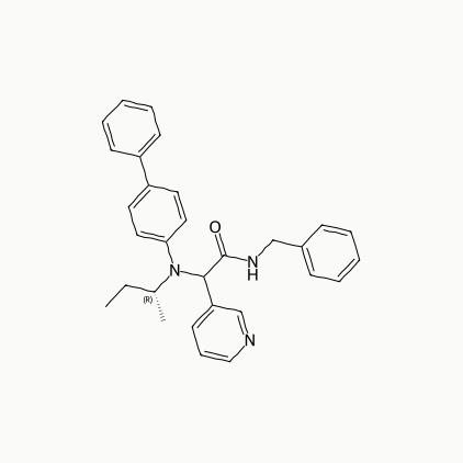 CC[C@@H](C)N(c1ccc(-c2ccccc2)cc1)C(C(=O)NCc1ccccc1)c1cccnc1